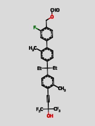 CCC(CC)(c1ccc(C#CC(O)(C(F)(F)F)C(F)(F)F)c(C)c1)c1ccc(-c2ccc(COC=O)c(F)c2)c(C)c1